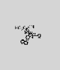 C[C@H]1CN(C(=O)O)[C@@H](CC#N)CN1c1nc(OCC2CCCN2C)nc2c1CCN(c1cccc3ccccc13)C2